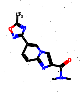 CN(C)C(=O)c1cn2cc(-c3noc(C(F)(F)F)n3)ccc2n1